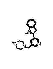 CN1CCN(Cc2cncc(C3Cc4ccccc4N3C)c2)CC1